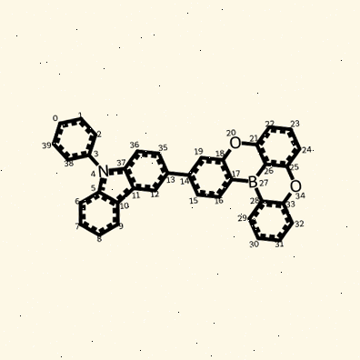 c1ccc(-n2c3ccccc3c3cc(-c4ccc5c(c4)Oc4cccc6c4B5c4ccccc4O6)ccc32)cc1